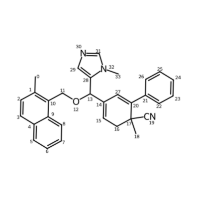 Cc1ccc2ccccc2c1COC(C1=CCC(C)(C#N)C(c2ccccc2)=C1)c1cncn1C